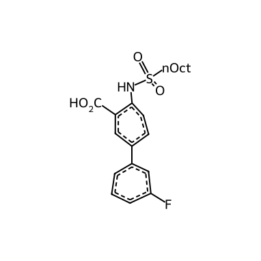 CCCCCCCCS(=O)(=O)Nc1ccc(-c2cccc(F)c2)cc1C(=O)O